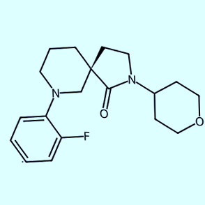 O=C1N(C2CCOCC2)CC[C@@]12CCCN(c1cc[c]cc1F)C2